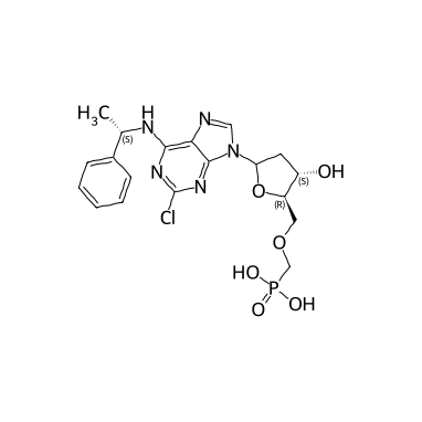 C[C@H](Nc1nc(Cl)nc2c1ncn2C1C[C@H](O)[C@@H](COCP(=O)(O)O)O1)c1ccccc1